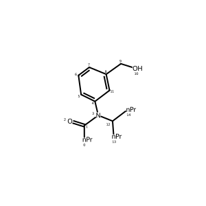 CCCC(=O)N(c1cccc(CO)c1)C(CCC)CCC